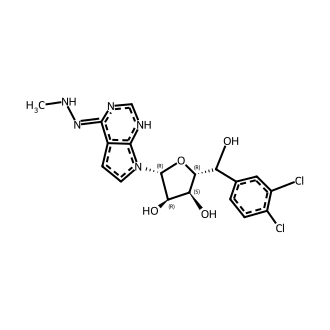 CNN=c1nc[nH]c2c1ccn2[C@@H]1O[C@H](C(O)c2ccc(Cl)c(Cl)c2)[C@@H](O)[C@H]1O